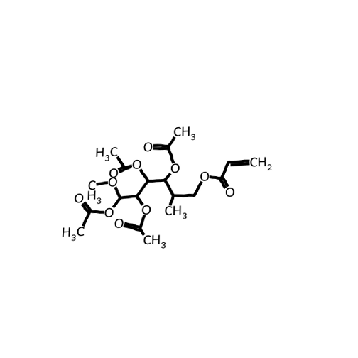 C=CC(=O)OCC(C)C(OC(C)=O)C(OC(C)=O)C(OC(C)=O)C(OC)OC(C)=O